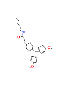 CCCCCNC(=O)CCc1ccc(C(c2ccc(OC)cc2)c2ccc(OC)cc2)cc1